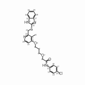 Cc1c(OCCCOCC(=O)Nc2ccc(Cl)cc2)ccnc1CSc1nc2ccccc2[nH]1